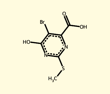 CSc1nc(O)c(Br)c(C(=O)O)n1